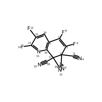 N#CC1(C#N)C(F)=C(F)c2cc(F)c(F)nc2C1(C#N)C#N